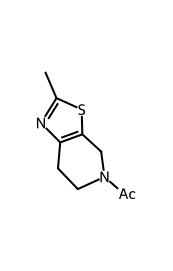 CC(=O)N1CCc2nc(C)sc2C1